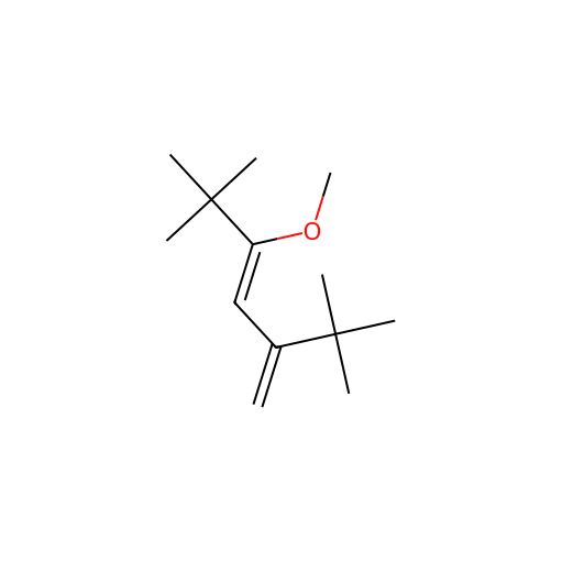 C=C(/C=C(\OC)C(C)(C)C)C(C)(C)C